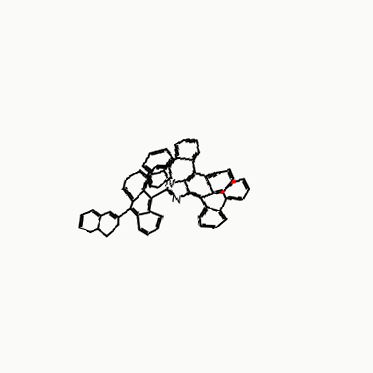 C1=CCCC(c2ccccc2-c2c3ccccc3c(-c3ccccc3C3=CC=CCC3)c3c2nc(-c2c4c(c(C5=CC6=CC=CCC6CC5)c5ccccc25)=CCCC=4)n3-c2ccccc2)=C1